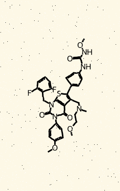 COCCN(C)Cc1c(-c2ccc(NC(=O)NOC)cc2)sc2c1c(=O)n(-c1ccc(OC)cc1)c(=O)n2Cc1c(F)cccc1F